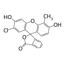 Cc1c(O)ccc2c1Oc1cc(O)c(Cl)cc1C21OC(=O)c2ccccc21